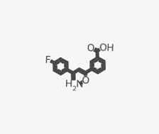 C=C(/C=C(\ON)c1cccc(C(=O)O)c1)c1ccc(F)cc1